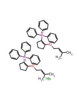 Br.CC(C)=CCOC1=C([PH](c2ccccc2)(c2ccccc2)c2ccccc2)CCC1.CC(C)=CCOC1=C([PH](c2ccccc2)(c2ccccc2)c2ccccc2)CCC1